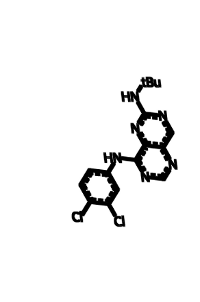 CC(C)(C)Nc1ncc2ncnc(Nc3ccc(Cl)c(Cl)c3)c2n1